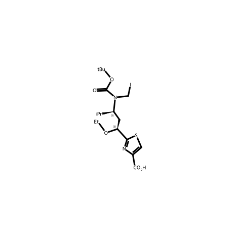 CCO[C@@H](C[C@@H](C(C)C)N(CI)C(=O)OC(C)(C)C)c1nc(C(=O)O)cs1